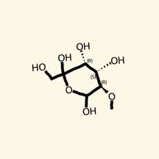 CO[C@H]1C(O)OC(O)(CO)[C@H](O)[C@@H]1O